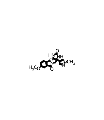 COc1ccc2c(c1)C(=O)N(CC1(c3cnn(C)c3)NC(=O)NC1=O)C2